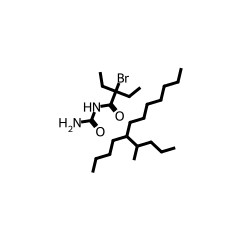 CCC(Br)(CC)C(=O)NC(N)=O.CCCCCCCC(CCCC)C(C)CCC